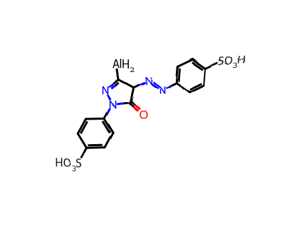 O=C1C(N=Nc2ccc(S(=O)(=O)O)cc2)[C]([AlH2])=NN1c1ccc(S(=O)(=O)O)cc1